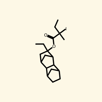 CCC(C)(I)C(=O)OC1(CC)CC2CC1C1C3CCC(C3)C21